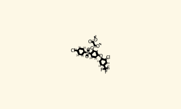 COC(=O)C(OC)Oc1cc(Oc2ccc(C(F)(F)F)cc2Cl)ccc1S(=O)(=O)c1ccc(Cl)cc1